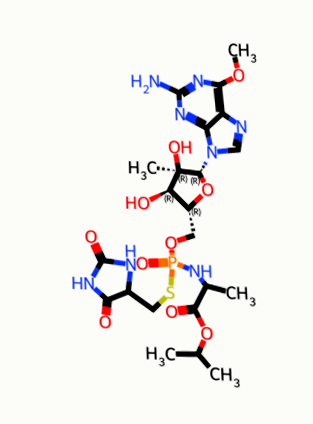 COc1nc(N)nc2c1ncn2[C@@H]1O[C@H](COP(=O)(NC(C)C(=O)OC(C)C)SCC2NC(=O)NC2=O)[C@@H](O)[C@@]1(C)O